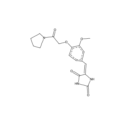 COc1cc(/C=C2/NC(=O)NC2=O)ccc1OCC(=O)N1CCCC1